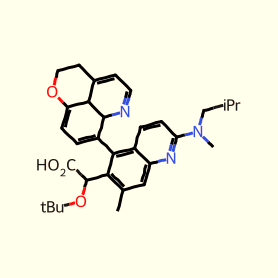 Cc1cc2nc(N(C)CC(C)C)ccc2c(C2=CC=C3OCCC4=CC=NC2C43)c1C(OC(C)(C)C)C(=O)O